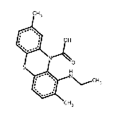 CCNc1c(C)ccc2c1N(C(=O)O)c1cc(C)ccc1S2